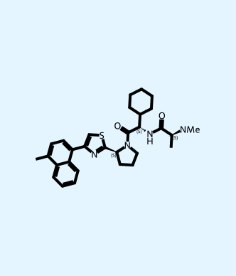 CN[C@@H](C)C(=O)N[C@H](C(=O)N1CCC[C@H]1c1nc(-c2ccc(C)c3ccccc23)cs1)C1CCCCC1